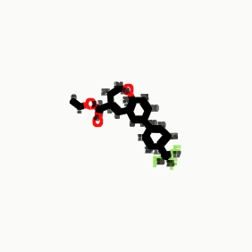 CCOC(=O)C1=Cc2cc(-c3ccc(C(F)(F)F)cc3)ccc2OCC1